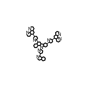 c1ccc2c(-c3ccc(-n4c5ccc(-c6ccc(-c7cc8cccnc8c8ncccc78)cn6)cc5c5cc(-c6ccc(-c7cc8cccnc8c8ncccc78)cn6)c6ccccc6c54)nc3)nccc2c1